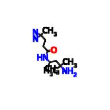 CC(CC(C)(C)N)NC(=O)CCC1(C)N=N1